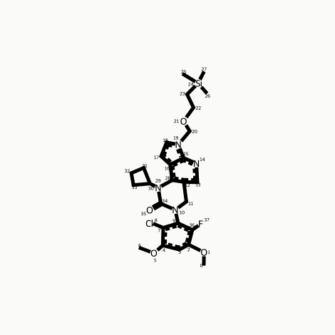 COc1cc(OC)c(Cl)c(N2Cc3cnc4c(ccn4COCC[Si](C)(C)C)c3N(C3CCC3)C2=O)c1F